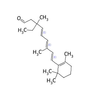 CCC(C)(/C=C/C=C(C)/C=C/C1=C(C)CCCC1(C)C)CC=O